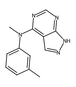 Cc1cccc(N(C)c2ncnc3[nH]ncc23)c1